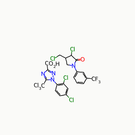 O=C(O)c1nc(C(Cl)(Cl)Cl)n(-c2ccc(Cl)cc2Cl)n1.O=C1C(Cl)C(CCl)CN1c1cccc(C(F)(F)F)c1